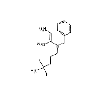 CSC(=C[N+](=O)[O-])N(CCCC(F)(F)C(F)(F)F)Cc1ccccc1